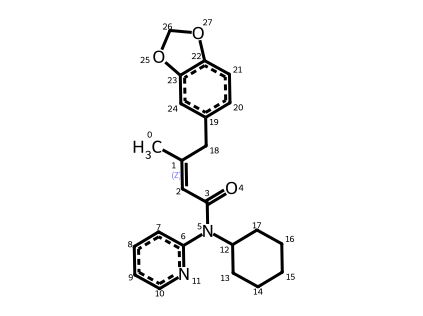 C/C(=C/C(=O)N(c1ccccn1)C1CCCCC1)Cc1ccc2c(c1)OCO2